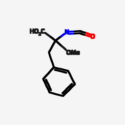 COC(Cc1ccccc1)(N=C=O)C(=O)O